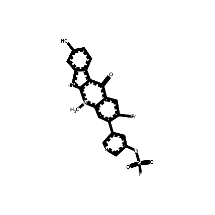 CC(C)c1cc2c(=O)c3c4ccc(C#N)cc4[nH]c3n(C)c2cc1-c1cncc(OS(=O)(=O)F)c1